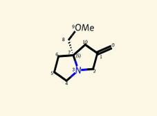 C=C1CN2CCC[C@@]2(COC)C1